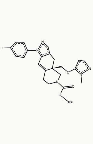 Cn1nccc1OC[C@]12Cc3cnn(-c4ccc(F)cc4)c3C=C1CCN(C(=O)OC(C)(C)C)C2